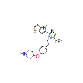 CCCc1cnc(-c2cc3sccc3n2C)n1CCc1ccc(OC2CCNCC2)cc1